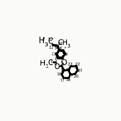 CCOC(Oc1ccc(C(C)CC)cc1)C1CCCC2CCCCC21